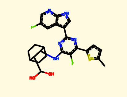 Cc1ccc(-c2nc(-c3c[nH]c4ncc(F)cc34)nc(NC3C4CCC(CC4)C3C(O)O)c2F)s1